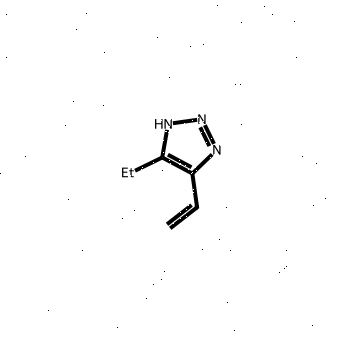 C=Cc1nn[nH]c1CC